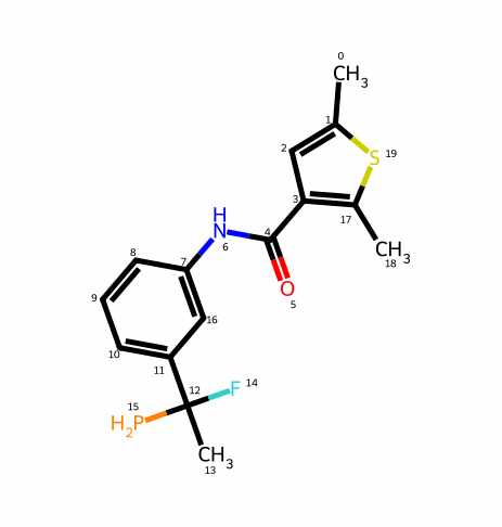 Cc1cc(C(=O)Nc2cccc(C(C)(F)P)c2)c(C)s1